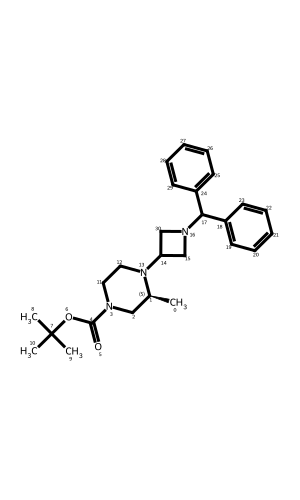 C[C@H]1CN(C(=O)OC(C)(C)C)CCN1C1CN(C(c2ccccc2)c2ccccc2)C1